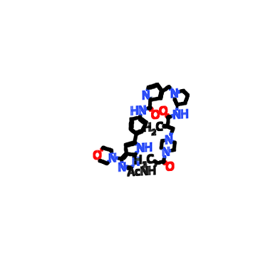 C=C(CN1CCN(C(=O)[C@@H](C)NC(C)=O)CC1)C(=O)N[C@@H]1CCCN(Cc2ccnc(C(=O)Nc3ccc(-c4cc5c(N6CCOCC6)ncnc5[nH]4)cc3)c2)C1